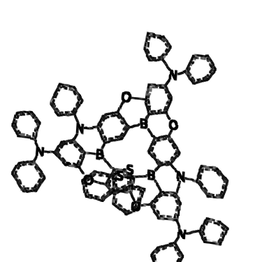 c1ccc(N(c2ccccc2)c2cc3c4c(c2)Oc2cc5c(cc2B4c2cc4c(cc2O3)N(c2ccccc2)c2cc(N(c3ccccc3)c3ccccc3)cc3c2B4c2sc4ccccc4c2O3)B2c3sc4ccccc4c3Oc3cc(N(c4ccccc4)c4ccccc4)cc(c32)N5c2ccccc2)cc1